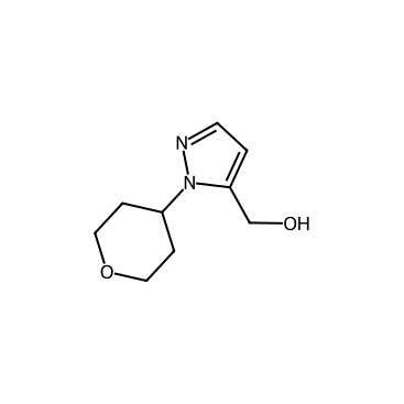 OCc1ccnn1C1CCOCC1